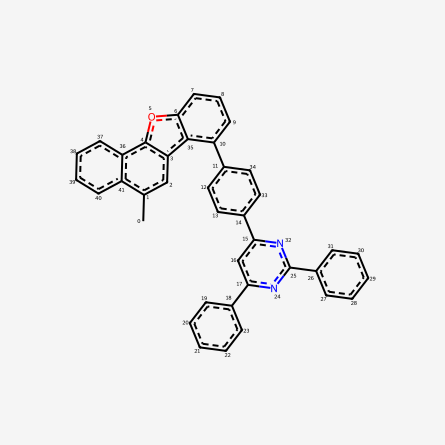 Cc1cc2c(oc3cccc(-c4ccc(-c5cc(-c6ccccc6)nc(-c6ccccc6)n5)cc4)c32)c2ccccc12